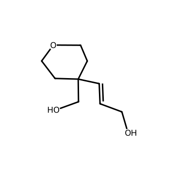 OCC=CC1(CO)CCOCC1